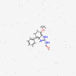 COC1=c2[nH]c(NC=O)nc2=C(c2ccccc2)CC1